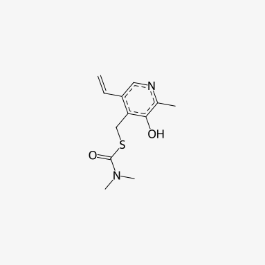 C=Cc1cnc(C)c(O)c1CSC(=O)N(C)C